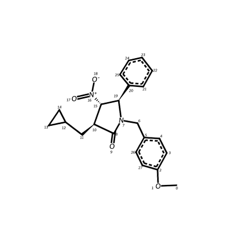 COc1ccc(CN2C(=O)[C@@H](CC3CC3)[C@H]([N+](=O)[O-])[C@H]2c2ccccc2)cc1